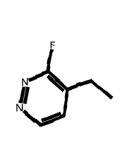 C[CH]c1ccnnc1F